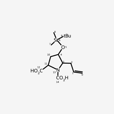 C=CCC1C(O[Si](C)(C)C(C)(C)C)CC(C(=O)O)N1C(=O)O